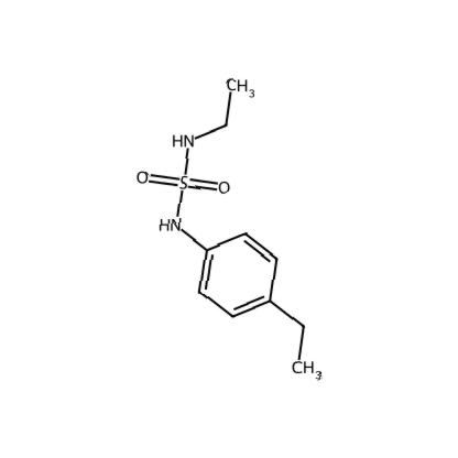 CCNS(=O)(=O)Nc1ccc(CC)cc1